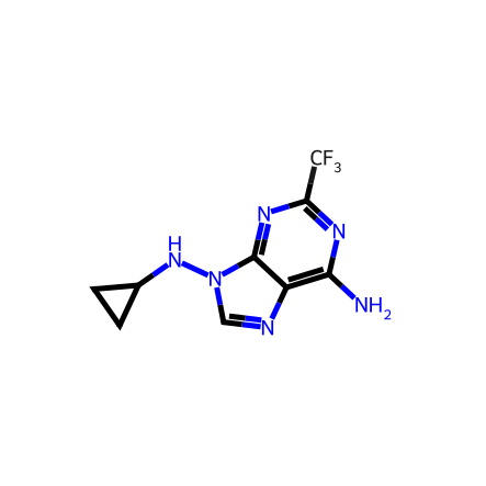 Nc1nc(C(F)(F)F)nc2c1ncn2NC1CC1